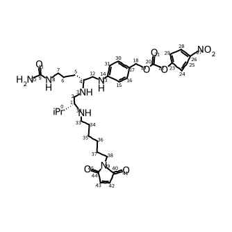 CC(C)[C@H](CN[C@H](CCCNC(N)=O)CNc1ccc(COC(=O)Oc2ccc([N+](=O)[O-])cc2)cc1)NCCCCCCN1C(=O)C=CC1=O